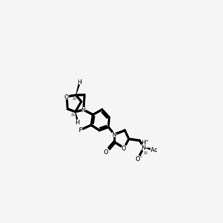 CC(=O)[N@@H+]([O-])CC1CN(c2ccc(N3C[C@@H]4C[C@H]3CO4)c(F)c2)C(=O)O1